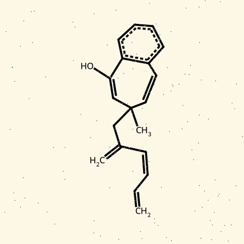 C=C/C=C\C(=C)CC1(C)C=Cc2ccccc2C(O)=C1